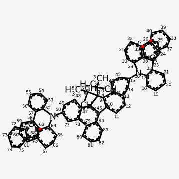 CC(C)(C)C1(C(C)(C)C)c2c(ccc3cc(N(c4ccccc4-c4ccccc4)c4cccc5c4oc4ccccc45)ccc23)-c2c1c1ccc(N(c3ccccc3-c3ccccc3)c3cccc4c3oc3ccccc34)cc1c1ccccc21